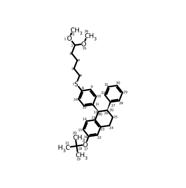 COC(CCCCSc1ccc([C@@H]2c3ccc(OC(C)(C)C)cc3CC[C@@H]2c2ccccc2)cc1)OC